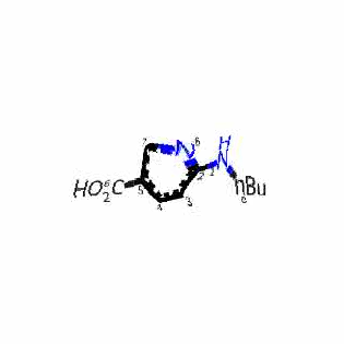 CCCCNc1ccc(C(=O)O)cn1